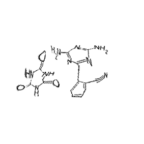 N#Cc1ccccc1-c1nc(N)nc(N)n1.O=c1[nH]c(=O)[nH]c(=O)[nH]1